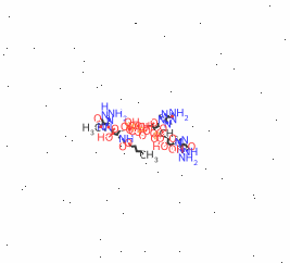 CCCCCOC(=O)NC[C@H]1[C@@H](O)[C@H](n2c[n+](C)c3c(=O)[nH]c(N)nc32)O[C@@H]1COP(=O)(O)OP(=O)(O)OP(=O)(O)OC[C@H]1O[C@@H](n2cnc3c(N)ncnc32)[C@H](OC)[C@@H]1OP(=O)([O-])OC[C@H]1O[C@@H](n2cnc3c(=O)[nH]c(N)nc32)[C@H](O)[C@@H]1O